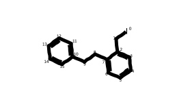 ICc1ccccc1CCc1ccccc1